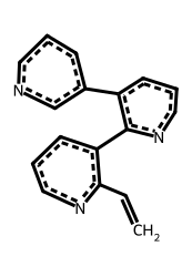 C=Cc1ncccc1-c1ncccc1-c1cccnc1